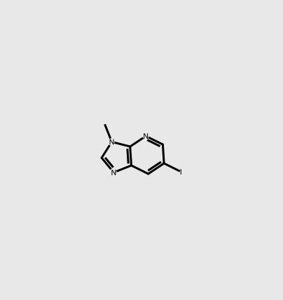 Cn1cnc2cc(I)cnc21